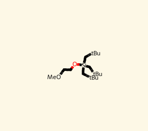 COCCO[Si](CC(C)(C)C)(CC(C)(C)C)CC(C)(C)C